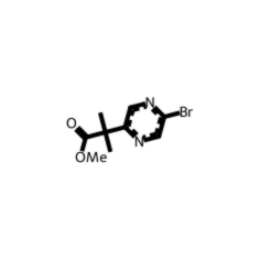 COC(=O)C(C)(C)c1cnc(Br)cn1